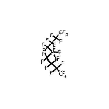 FC(F)(F)C(F)(F)C(F)(F)C(F)(F)P(F)(F)(F)C(F)(F)C(F)(F)C(F)(F)C(F)(F)F